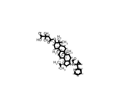 C=C(C)[C@@H]1CC[C@]2(C(=O)NC3(c4ccccn4)CC3)CC[C@]3(C)C(CCC4[C@@]5(C)CCC(OC(=O)CC(C)(C)C(=O)O)C(C)(C)C5CC[C@]43C)C12